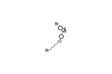 BrCCCCCCOc1ccc(-c2nsc3cc(Br)ccc23)cc1